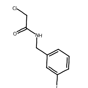 O=C(CCl)NCc1cccc(I)c1